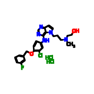 CN(CCO)CCCn1ccc2ncnc(Nc3ccc(OCc4cccc(F)c4)c(Cl)c3)c21.Cl.Cl